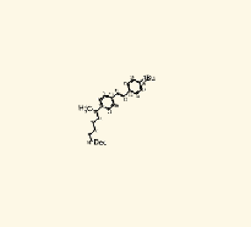 CCCCCCCCCCCCCCC(C)c1ccc(/C=C/c2ccc(C(C)(C)C)cc2)cc1